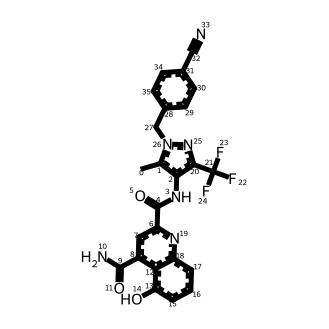 Cc1c(NC(=O)c2cc(C(N)=O)c3c(O)cccc3n2)c(C(F)(F)F)nn1Cc1ccc(C#N)cc1